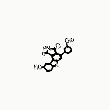 O=Cc1cccc(-c2cc3c(c4c2C(=O)NC4=O)C2=CC(O)C=CC2=N3)c1